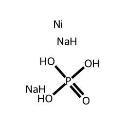 O=P(O)(O)O.[NaH].[NaH].[Ni]